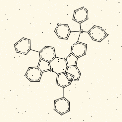 c1ccc(-c2cccc(-n3c4ccccc4c4c(-c5ccccc5)ccc(-n5c6ccccc6c6ccc([Si](c7ccccc7)(c7ccccc7)c7ccccc7)cc65)c43)c2)cc1